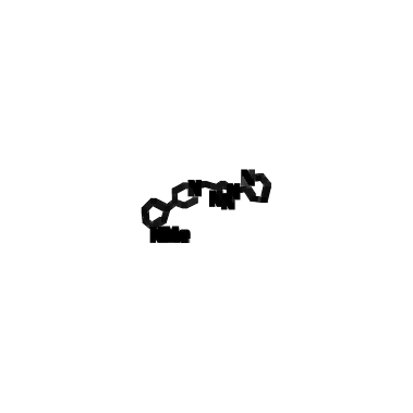 CNc1cccc(C2CCN(Cc3cn(-c4ccccn4)nn3)CC2)c1